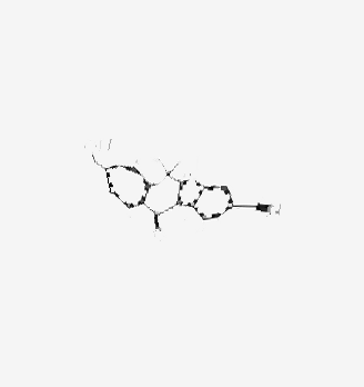 CC1(C)c2cc(CO)ccc2C(=O)c2c1[nH]c1cc(C#N)ccc21